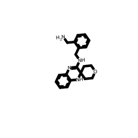 NCc1ccccc1CNC1=Nc2ccccc2NC12CCOCC2